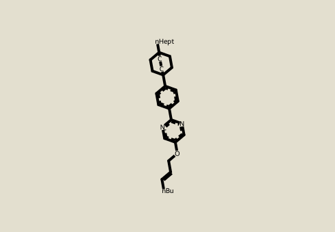 CCCCC=CCOc1cnc(-c2ccc(C34CCC(CCCCCCC)(CC3)CC4)cc2)nc1